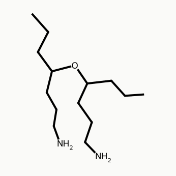 CCCC(CCCN)OC(CCC)CCCN